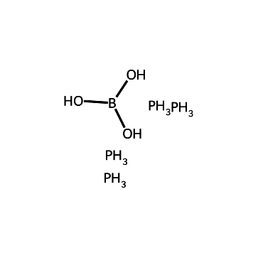 OB(O)O.P.P.P.P